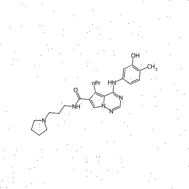 CCCc1c(C(=O)NCCCN2CCCC2)cn2ncnc(Nc3ccc(C)c(O)c3)c12